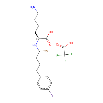 NCCCC[C@H](NC(=S)CCCc1ccc(I)cc1)C(=O)O.O=C(O)C(F)(F)F